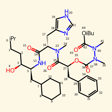 CC(C)CC[C@H](O)[C@H](CC1CCCCC1)NC(=O)[C@H](Cc1c[nH]cn1)N(C)C(=O)[C@H](Cc1ccccc1)OC(=O)N(C)N(C)C(=O)OCC(C)C